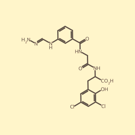 NN=CNc1cccc(C(=O)NCC(=O)NC(Cc2cc(Cl)cc(Cl)c2O)C(=O)O)c1